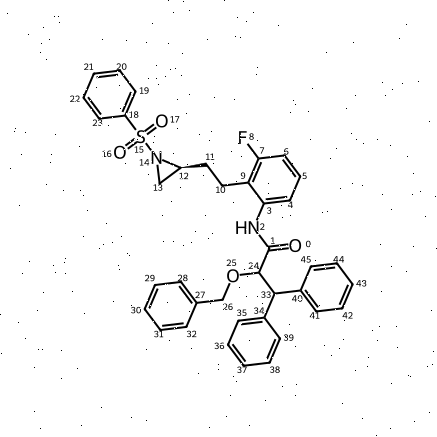 O=C(Nc1cccc(F)c1CC[C@H]1CN1S(=O)(=O)c1ccccc1)C(OCc1ccccc1)C(c1ccccc1)c1ccccc1